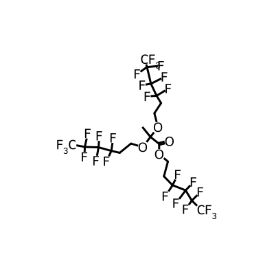 CC(OCCC(F)(F)C(F)(F)C(F)(F)C(F)(F)F)(OCCC(F)(F)C(F)(F)C(F)(F)C(F)(F)F)C(=O)OCCC(F)(F)C(F)(F)C(F)(F)C(F)(F)F